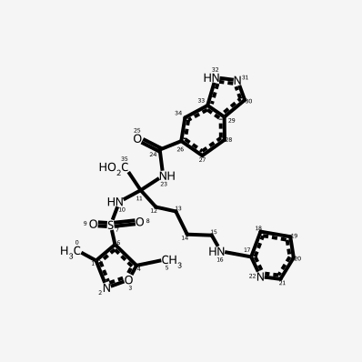 Cc1noc(C)c1S(=O)(=O)NC(CCCCNc1ccccn1)(NC(=O)c1ccc2cn[nH]c2c1)C(=O)O